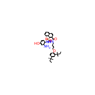 CCC(C)(C)c1ccc(OCCCCNC(=O)c2ccc3ccccc3c2S(=O)(=O)Nc2ccc(O)cc2N)c(C(C)(C)CC)c1